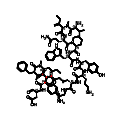 C=C(CC)[C@@H](C(=O)N[C@@H](CCC(N)=O)C(=O)N1CCCC[C@@H]1C(=O)N[C@@H](Cc1c[nH]c2ccccc12)C(=O)N[C@@H](Cc1ccc(O)cc1)C(=O)N[C@@H](CCCN)C(=O)N[C@@H](CSCC(=O)N[C@@H](Cc1ccc(F)cc1)C(=O)N(C)C(Cc1ccccc1)C(=O)N(C)[C@@H](CCCC)C(=O)N1CCC[C@@H]1C(=O)N[C@H](C=O)CC(=O)O)C(=O)NCC(N)=O)N(C)C(=O)[C@@H](N)C(C)C